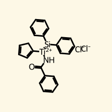 O=C([NH][Ti+2]([C]1=CC=CC1)=[Si](c1ccccc1)c1ccccc1)c1ccccc1.[Cl-].[Cl-]